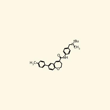 Cc1ccc(-c2ccc3c(c2)C=C(C(=O)Nc2ccc(CN(C)C(C)(C)C)cc2)CCO3)cc1